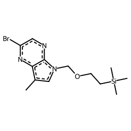 Cc1cn(COCC[Si](C)(C)C)c2ncc(Br)nc12